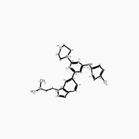 CN(C)CCn1ncc2ccc(-c3cc(Nc4ccc(Cl)cc4)nc(N4CCOCC4)n3)cc21